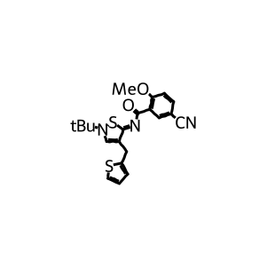 COc1ccc(C#N)cc1C(=O)/N=c1\sn(C(C)(C)C)cc1Cc1cccs1